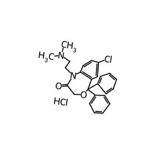 CN(C)CCN1C(=O)COC(c2ccccc2)(c2ccccc2)c2cc(Cl)ccc21.Cl